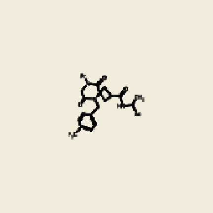 CC(=O)C(C)NC(=O)[C@H]1C[C@]2(C1)C(=O)N(C(C)C)CC(=O)N2Cc1ccc(C(F)(F)F)cc1